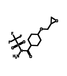 NN(C(=O)C1CCC(OCC2CO2)CC1)S(=O)(=O)C(F)(F)F